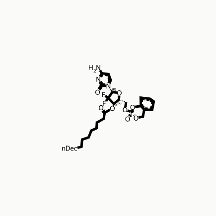 CCCCCCCCCCCCCCCCCC(=O)O[C@@H]1[C@@H](COP2(=O)OCc3ccccc3O2)O[C@@H](n2ccc(N)nc2=O)C1(F)F